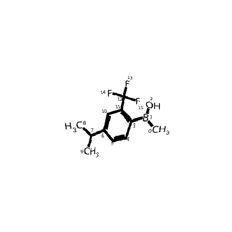 CB(O)c1ccc(C(C)C)cc1C(F)(F)F